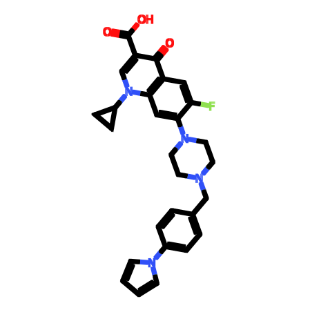 O=C(O)c1cn(C2CC2)c2cc(N3CCN(Cc4ccc(-n5cccc5)cc4)CC3)c(F)cc2c1=O